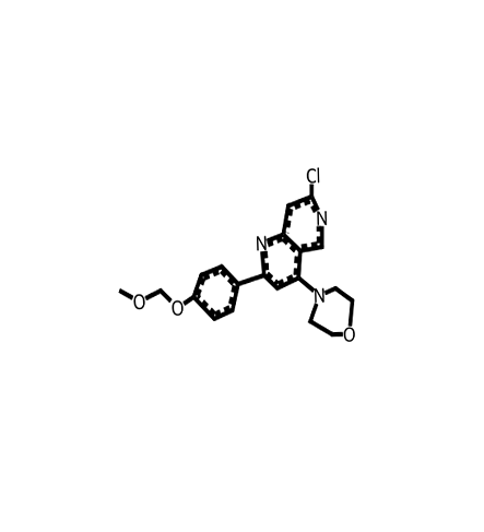 COCOc1ccc(-c2cc(N3CCOCC3)c3cnc(Cl)cc3n2)cc1